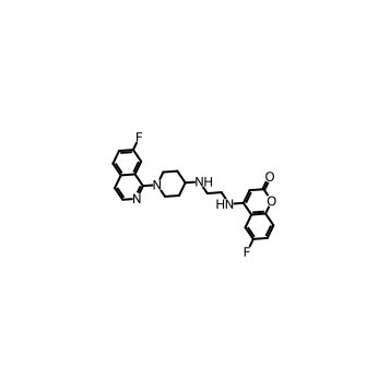 O=c1cc(NCCNC2CCN(c3nccc4ccc(F)cc34)CC2)c2cc(F)ccc2o1